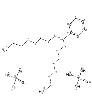 CCCCCCC[CH2][Zn]([CH2]CCCCCCC)[c]1ccccc1.OP(O)(O)=S.OP(O)(O)=S